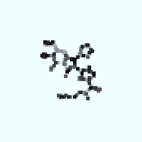 COCCN(C)C(=O)c1nnc(-c2c(-n3ccnc3)c3cc(OC)c(Cl)c(F)c3n2C)[nH]1